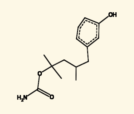 CC(Cc1cccc(O)c1)CC(C)(C)OC(N)=O